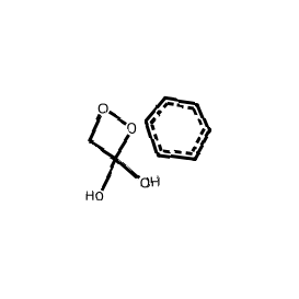 OC1(O)COO1.c1ccccc1